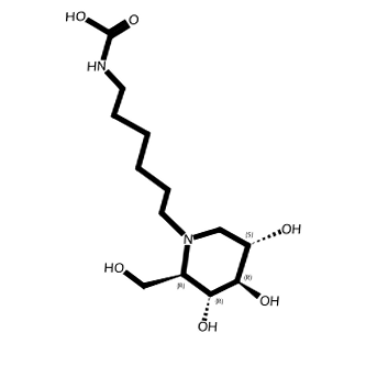 O=C(O)NCCCCCCN1C[C@H](O)[C@@H](O)[C@H](O)[C@H]1CO